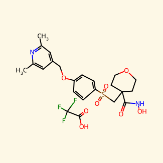 Cc1cc(COc2ccc(S(=O)(=O)CC3(C(=O)NO)CCOCC3)cc2)cc(C)n1.O=C(O)C(F)(F)F